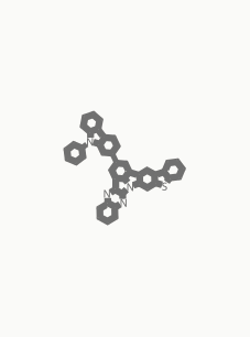 c1ccc(-n2c3ccccc3c3ccc(-c4cc5c6cc7c(cc6n6c8nc9ccccc9nc8c(c4)c56)sc4ccccc47)cc32)cc1